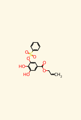 C=CCOC(=O)c1cc(O)c(O)c(OS(=O)(=O)c2ccccc2)c1